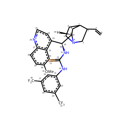 C=CC1CN2CCC1C[C@H]2[C@@H](NC(=S)Nc1cc(C(F)(F)F)cc(C(F)(F)F)c1)c1ccnc2ccc(OC)cc12